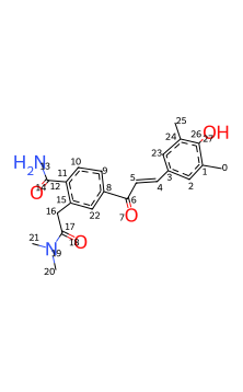 Cc1cc(C=CC(=O)c2ccc(C(N)=O)c(CC(=O)N(C)C)c2)cc(C)c1O